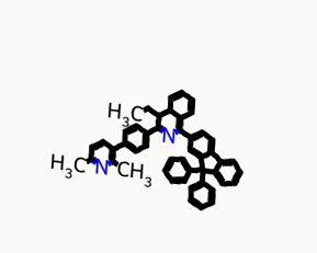 CCC1C(c2ccc(-c3ccc(C)nc3C)cc2)=NC(c2ccc3c(c2)C(c2ccccc2)(c2ccccc2)c2ccccc2-3)=C2C=CC=CC21